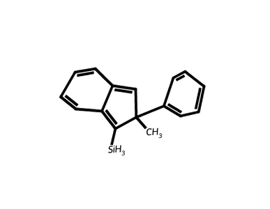 CC1(c2ccccc2)C=c2ccccc2=C1[SiH3]